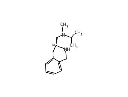 CC(C)N(C)C[C@@H]1Cc2ccccc2CN1